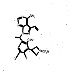 C=Cc1nn(C(C)c2cc(Cl)c(F)c(C3CN(C(=O)O)C3)c2OC)c2ncnc(N)c12